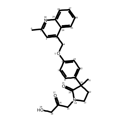 Cc1cc(COc2ccc(C3(C)CCN(CC(=O)CO)C3=O)cc2)c2ccccc2n1